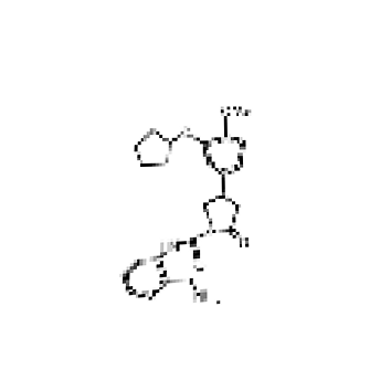 COc1ccc(C2CC(=O)N(C(=O)Nc3ccccc3CN)C2)cc1OC1CCCC1